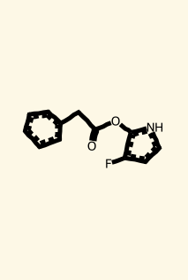 O=C(Cc1ccccc1)Oc1[nH]ccc1F